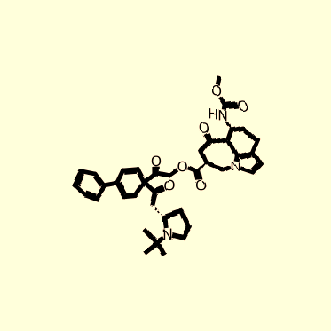 COC(=O)N[C@H]1CCc2ccn3c2C1C(=O)C[C@H](C(=O)OCC(=O)C1(C(=O)C[C@@H]2CCCN2C(C)(C)C)C=CC(c2ccccc2)=CC1)C3